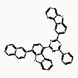 c1ccc(-c2nc(-c3ccc4sc5ccccc5c4c3)nc(-c3ccc(-c4ccc5ccccc5c4)c4oc5ccccc5c34)n2)cc1